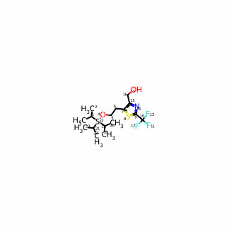 CC(C)[Si](OCCc1sc(C(F)(F)F)nc1CO)(C(C)C)C(C)C